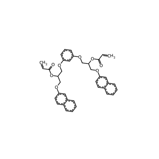 C=CC(=O)OC(COc1cccc(OCC(COc2ccc3ccccc3c2)OC(=O)C=C)c1)COc1ccc2ccccc2c1